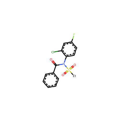 CCS(=O)(=O)N(C(=O)c1ccccc1)c1c[c]c(F)cc1Cl